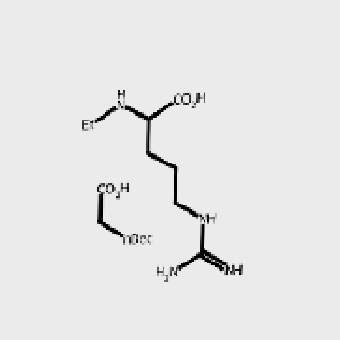 CCCCCCCCCCCC(=O)O.CCNC(CCCNC(=N)N)C(=O)O